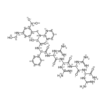 N=C(N)NC(NC(=O)C(NC(=N)N)NC(=O)C(NC(=N)N)NC(=O)C(NC(=N)N)NC(=O)C(NC(=O)C(O)N(Cc1ccc(NOO)cc1[N+](=O)[O-])c1ncccn1)c1ccccc1)C(N)=O